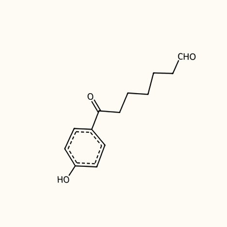 O=CCCCCCC(=O)c1ccc(O)cc1